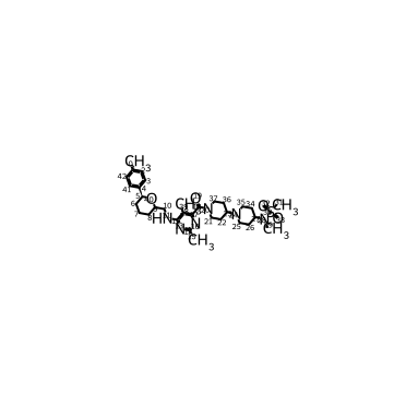 Cc1ccc([C@@H]2CCCC(CNc3nc(C)nc(C(=O)N4CCC(N5CCC(N(C)S(C)(=O)=O)CC5)CC4)c3C)O2)cc1